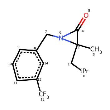 CC(C)CC1(C)C(=O)N1Cc1cccc(C(F)(F)F)c1